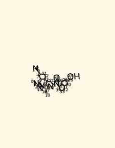 Cn1cnnc1-c1cc(C#N)ccc1-c1cc(C2CC2)nc(N2C(=O)c3cc(CO)cc4cccc2c34)c1